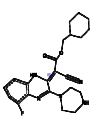 N#C/C(C(=O)OCC1CCCCC1)=C1/Nc2cccc(F)c2N=C1N1CCNCC1